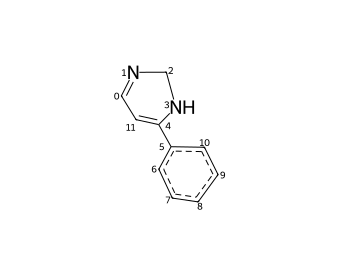 C1=NCNC(c2ccccc2)=C1